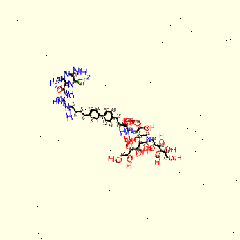 N=C(NCCCCc1ccc(-c2ccc(CCC(=O)N[C@@H](CCN(C[C@H](O)[C@@H](O)[C@H](O)[C@H](O)CO)C[C@H](O)[C@@H](O)[C@H](O)[C@H](O)CO)C(O)O)cc2)cc1)NC(=O)c1nc(Cl)c(N)nc1N